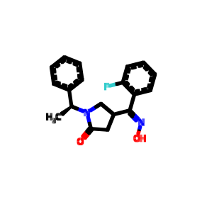 C[C@@H](c1ccccc1)N1CC(/C(=N\O)c2ccccc2F)CC1=O